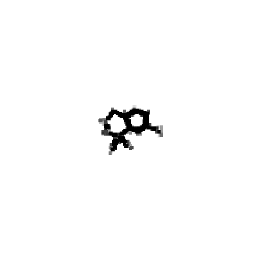 O=S1(=O)N=NCc2ccc(Cl)cc21